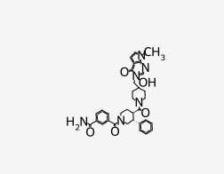 Cn1ccc2c(=O)n(CC3(O)CCN(C(=O)[C@@H]4CCN(C(=O)c5cccc(C(N)=O)c5)C[C@H]4c4ccccc4)CC3)cnc21